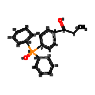 CCC(=O)c1ccc(P(=O)(c2ccccc2)c2ccccc2)cc1